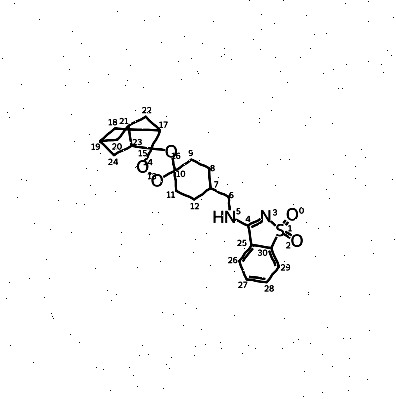 O=S1(=O)N=C(NCC2CCC3(CC2)OOC2(O3)C3CC4CC(C3)C2C4)c2ccccc21